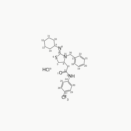 Cl.O=C(CC1CSC(=NC2CCCCC2)N1Cc1ccccc1)Nc1ccc(C(F)(F)F)cc1